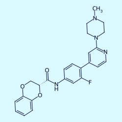 CN1CCN(c2cc(-c3ccc(NC(=O)[C@H]4COc5ccccc5O4)cc3F)ccn2)CC1